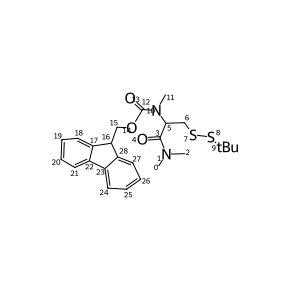 CN(C)C(=O)C(CSSC(C)(C)C)N(C)C(=O)OCC1c2ccccc2-c2ccccc21